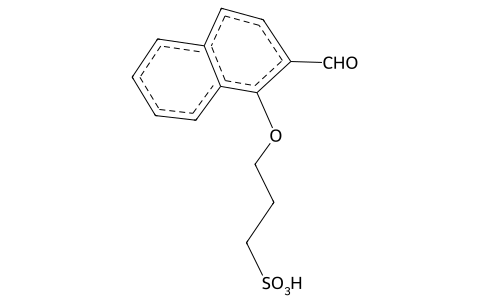 O=Cc1ccc2ccccc2c1OCCCS(=O)(=O)O